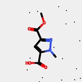 COC(=O)c1cc(C(=O)O)n(C)n1